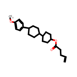 C=CCCC(=O)OC1CCC(C2CCC(c3ccc(OC(F)(F)F)cc3)CC2)CC1